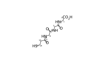 O=C(O)CNC(=O)CNC(=O)CNC(=O)CCS